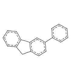 c1ccc(-c2ccc3c(c2)-c2ccccc2C3)cc1